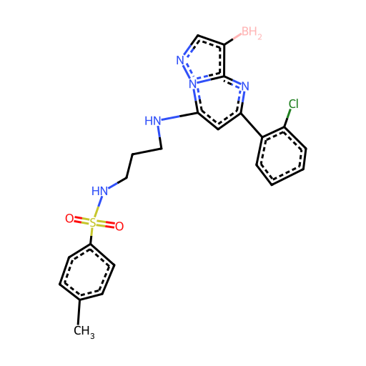 Bc1cnn2c(NCCCNS(=O)(=O)c3ccc(C)cc3)cc(-c3ccccc3Cl)nc12